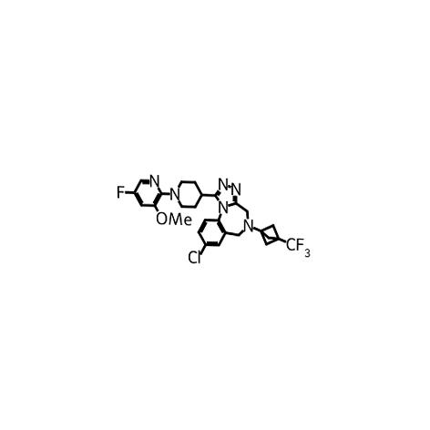 COc1cc(F)cnc1N1CCC(c2nnc3n2-c2ccc(Cl)cc2CN(C24CC(C(F)(F)F)(C2)C4)C3)CC1